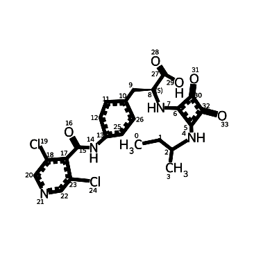 CCC(C)Nc1c(N[C@@H](Cc2ccc(NC(=O)c3c(Cl)cncc3Cl)cc2)C(=O)O)c(=O)c1=O